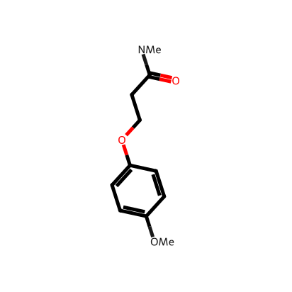 CNC(=O)CCOc1ccc(OC)cc1